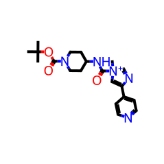 CC(C)(C)OC(=O)N1CCC(NC(=O)[N+]2(C)C=NC(c3ccncc3)=C2)CC1